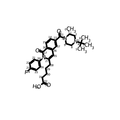 C[C@@H]1CN(C(C)(C)C)CCN1C(=O)c1ccc2c(=O)n(-c3ccc(F)cc3)c(CCCCC(=O)O)cc2c1